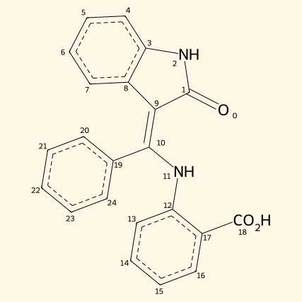 O=C1Nc2ccccc2C1=C(Nc1ccccc1C(=O)O)c1ccccc1